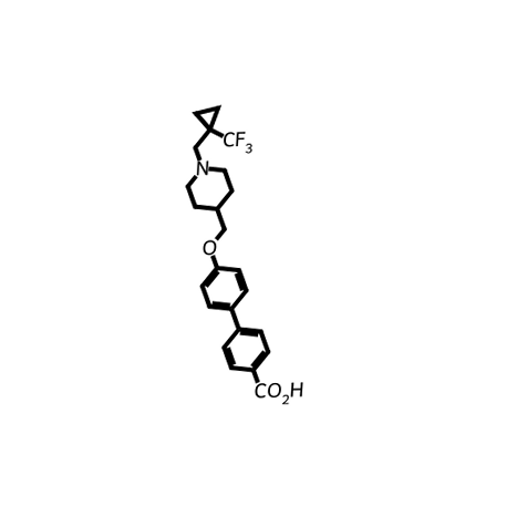 O=C(O)c1ccc(-c2ccc(OCC3CCN(CC4(C(F)(F)F)CC4)CC3)cc2)cc1